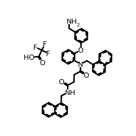 NCc1cccc(Oc2ccccc2N(Cc2cccc3ccccc23)C(=O)CCC(=O)NCc2cccc3ccccc23)c1.O=C(O)C(F)(F)F